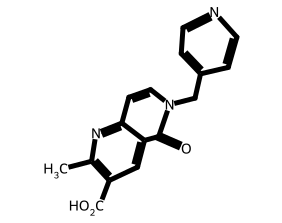 Cc1nc2ccn(Cc3ccncc3)c(=O)c2cc1C(=O)O